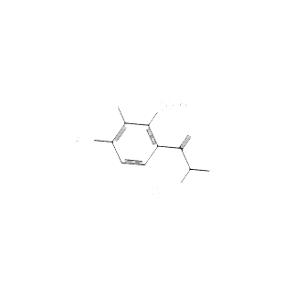 CCC(C(=O)O)C(=O)c1ccc(C(F)(F)F)c(C)c1C(=O)O